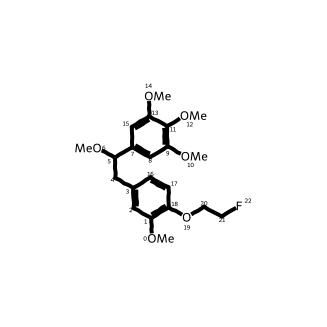 COc1cc(CC(OC)c2cc(OC)c(OC)c(OC)c2)ccc1OCCF